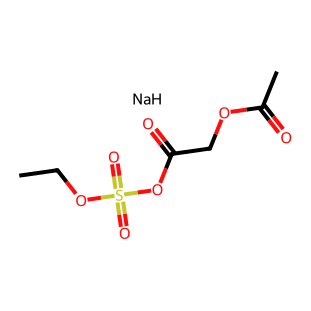 CCOS(=O)(=O)OC(=O)COC(C)=O.[NaH]